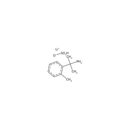 Cc1ccccc1C(C)(C)P.O=S(=O)([O-])O.[Li+]